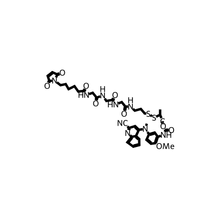 COc1ccc(N(C)c2cc(C#N)nc3ccccc23)cc1NC(=O)OCC(C)SSCCCNC(=O)CNC(=O)CNC(=O)CNC(=O)CCCCCN1C(=O)C=CC1=O